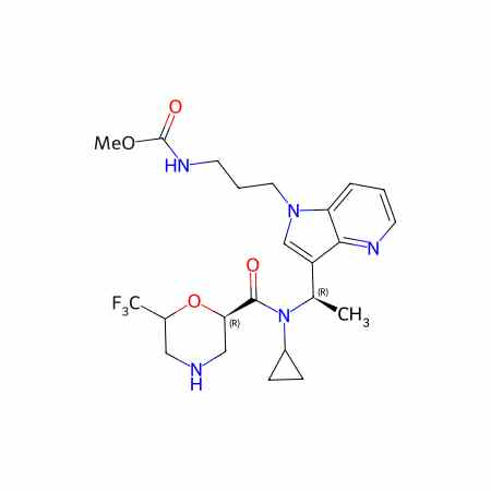 COC(=O)NCCCn1cc([C@@H](C)N(C(=O)[C@H]2CNCC(C(F)(F)F)O2)C2CC2)c2ncccc21